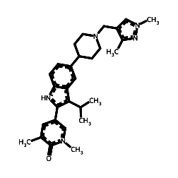 Cc1nn(C)cc1CN1CCC(c2ccc3[nH]c(-c4cc(C)c(=O)n(C)c4)c(C(C)C)c3c2)CC1